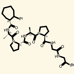 CC(C)C1CCCCC[C@H]1C(=O)N[C@@H](C)C(=O)N1CCC[C@H]1C(=O)N[C@@H](C)C(=O)N1CCC[C@H]1C(=O)NCC(=O)NCC(=O)C(C)(C)C